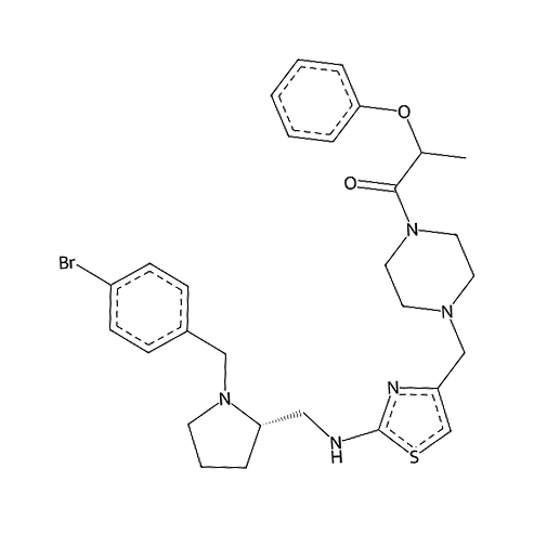 CC(Oc1ccccc1)C(=O)N1CCN(Cc2csc(NC[C@@H]3CCCN3Cc3ccc(Br)cc3)n2)CC1